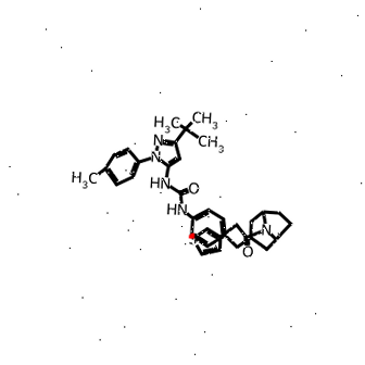 Cc1ccc(-n2nc(C(C)(C)C)cc2NC(=O)Nc2ccc(CC3CC4CCC(C3)N4C(=O)Cc3ccsc3)cc2)cc1